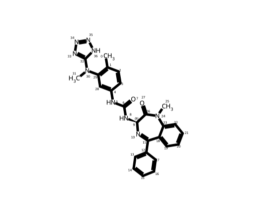 Cc1ccc(NC(=O)N[C@@H]2N=C(c3ccccc3)c3ccccc3N(C)C2=O)cc1N(C)c1nnn[nH]1